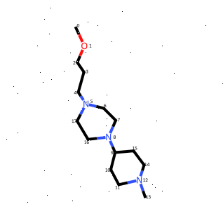 COCCCN1CCN(C2CCN(C)CC2)CC1